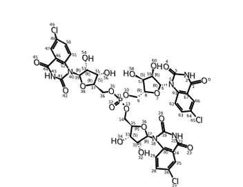 O=c1[nH]c(=O)n([C@@H]2O[C@H](COP(=O)(OC[C@H]3O[C@@H](n4c(=O)[nH]c(=O)c5cc(Cl)ccc54)[C@H](O)[C@@H]3O)OC[C@H]3O[C@@H](n4c(=O)[nH]c(=O)c5cc(Cl)ccc54)[C@H](O)[C@@H]3O)[C@@H](O)[C@H]2O)c2ccc(Cl)cc12